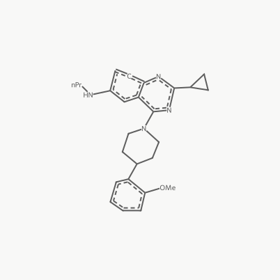 CCCNc1ccc2nc(C3CC3)nc(N3CCC(c4ccccc4OC)CC3)c2c1